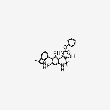 Cc1c[nH]c2c(-c3c(F)cc4c(c3F)[C@H](NC(=O)Oc3ccccc3)[C@@H](O)C(C)(C)N4)cccc12